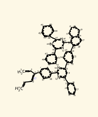 C=C/C=C(\C=C)c1ccc(-c2nc(-c3ccccc3)cc(-c3ccc(-c4ccc5ccccc5c4-c4nc(-c5ccccc5)nc(-c5ccccc5)n4)cc3)n2)cc1